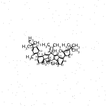 CCCC1(CCC)C2=Cc3c(-c4ccc(C(C)(C)C)cc4C)cccc3[CH]2[Hf]([CH3])([CH3])[CH]2C1=Cc1c(-c3ccc(C(C)(C)C)cc3C)cccc12